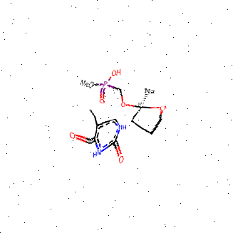 COP(=O)(O)CO[C@]1([Na])CCCO1.Cc1c[nH]c(=O)[nH]c1=O